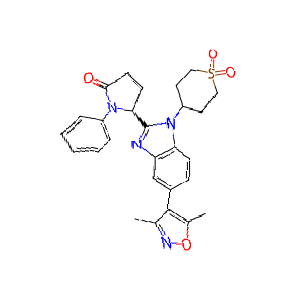 Cc1noc(C)c1-c1ccc2c(c1)nc([C@@H]1CCC(=O)N1c1ccccc1)n2C1CCS(=O)(=O)CC1